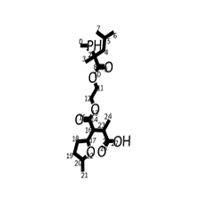 CPC(C)(CC(C)C)C(=O)OCCOC(=O)C(C1CCC(C)O1)C(C)C(=O)O